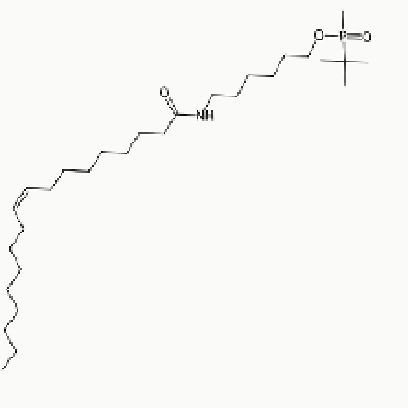 CCCCCCCC/C=C\CCCCCCCC(=O)NCCCCCCOP(C)(=O)C(C)(C)C